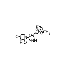 COP(=O)(/C=C/C1CNCC(n2ccc(=O)[nH]c2=O)O1)OC